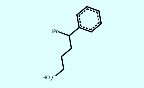 CC(C)C(CCCC(=O)O)c1ccccc1